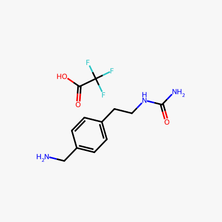 NCc1ccc(CCNC(N)=O)cc1.O=C(O)C(F)(F)F